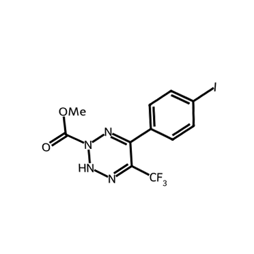 COC(=O)N1N=C(c2ccc(I)cc2)C(C(F)(F)F)=NN1